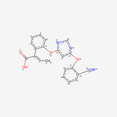 C/C=C(/C(=O)O)c1ccccc1Oc1cc(Oc2ccccc2C#N)ncn1